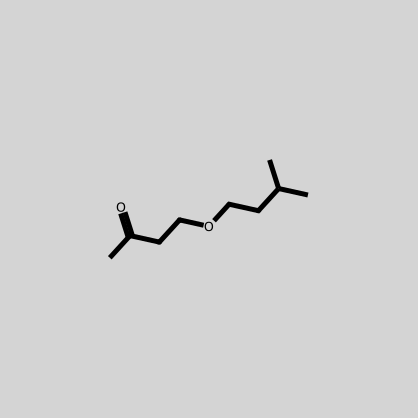 CC(=O)CCOCCC(C)C